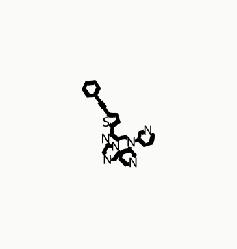 C(#Cc1ccc(-c2nc3cnccn3c2CN(c2cccnc2)c2cccnc2)s1)c1ccccc1